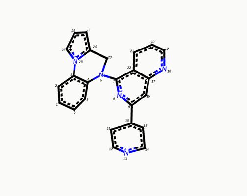 c1ccc2c(c1)N(c1nc(-c3ccncc3)cc3ncccc13)Cc1cccn1-2